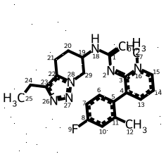 C=C(/N=c1/c(-c2ccc(F)cc2C)cccn1C)NC1CCc2c(CC)nnn2C1